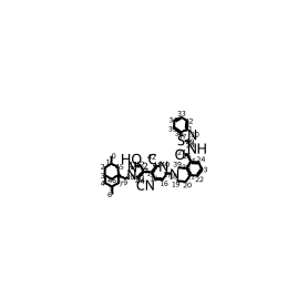 CC1CC2CC(C)CC(Cn3ncc(-c4ccc(N5CCc6cccc(C(=O)Nc7nc8ccccc8s7)c6C5)nc4C(=O)O)c3C#N)(C1)C2